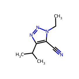 CCn1nnc(C(C)C)c1C#N